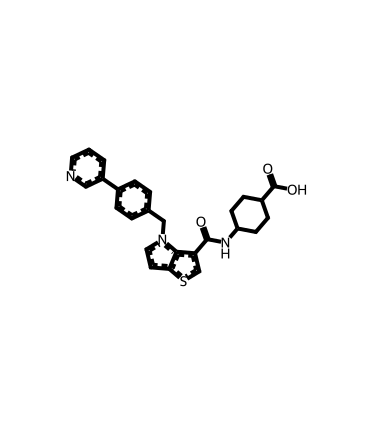 O=C(NC1CCC(C(=O)O)CC1)c1csc2ccn(Cc3ccc(-c4cccnc4)cc3)c12